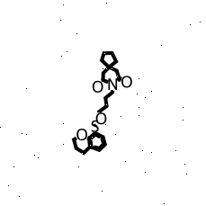 O=C1CC2(CCCC2)CC(=O)N1CCCCOSc1cccc2c1OCCC2